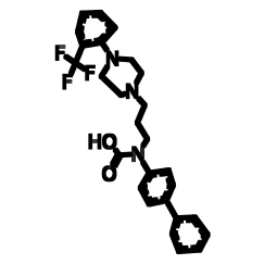 O=C(O)N(CCCN1CCN(c2ccccc2C(F)(F)F)CC1)c1ccc(-c2ccccc2)cc1